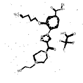 C=CCCCOc1cc(C(=O)NCC)ccc1-n1cc(C(=O)N2CCN(CCO)CC2)nn1.O=C(O)C(F)(F)F